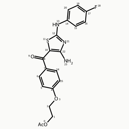 CC(=O)OCCOc1ccc(C(=O)c2sc(Nc3ccc(F)cc3)nc2N)cc1